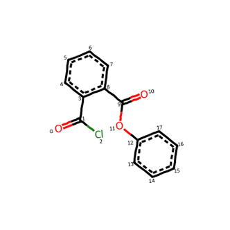 O=C(Cl)c1ccccc1C(=O)Oc1ccccc1